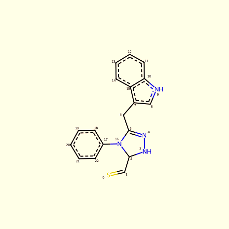 S=CC1NN=C(Cc2c[nH]c3ccccc23)N1c1ccccc1